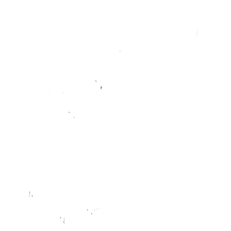 Nc1ncnc2cc(CN3CC[N+]([O-])(C/C=C/c4ccc(Cl)s4)CC3=O)ccc12